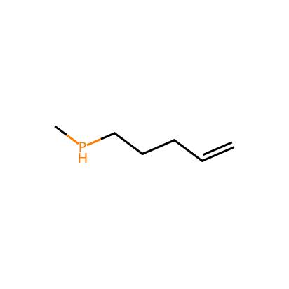 C=CCCCPC